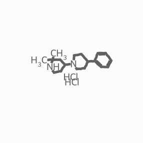 CC1(C)CC(N2CCC(c3ccccc3)CC2)CCN1.Cl.Cl